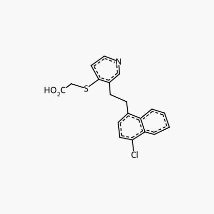 O=C(O)CSc1ccncc1CCc1ccc(Cl)c2ccccc12